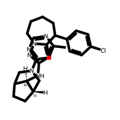 Cc1cc(N2CC3CC[C@@H](C2)[C@@H]3Nc2nc3n(n2)CCCCC3c2ccc(Cl)cc2)ncn1